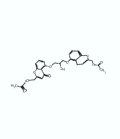 CC(=O)OCC1=CCc2c(OCC(O)COc3cccc4oc(COC(C)=O)cc(=O)c34)cccc2O1